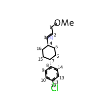 COC/C=C/[C@H]1CC[C@H](c2ccc(Cl)cc2)CC1